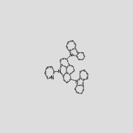 c1ccc(-n2c3ccc(-n4c5ccccc5c5ccccc54)c4ccc5c(-n6c7ccccc7c7ccccc76)ccc2c5c43)nc1